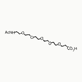 CC(=O)NCCOCCOCCOCCOCCOCCC(=O)O